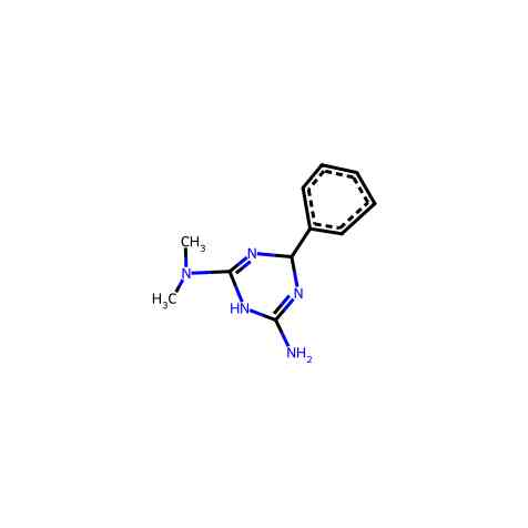 CN(C)C1=NC(c2ccccc2)N=C(N)N1